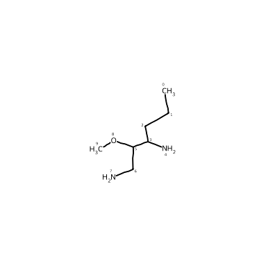 CCCC(N)C(CN)OC